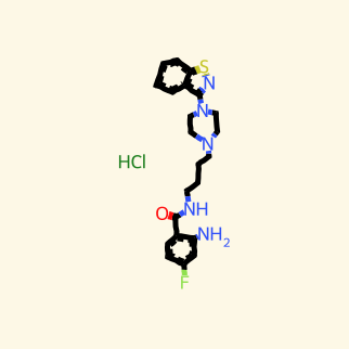 Cl.Nc1cc(F)ccc1C(=O)NCCCCN1CCN(c2nsc3ccccc23)CC1